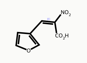 O=C(O)/C(=C\c1ccoc1)[N+](=O)[O-]